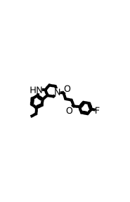 CCc1ccc2c(c1)C1CN(C(=O)CCC(=O)c3ccc(F)cc3)CCC1N2